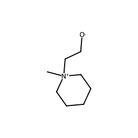 C[N+]1(CC[O])CCCCC1